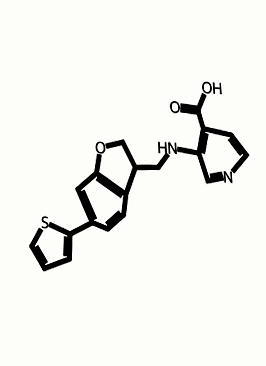 O=C(O)c1ccncc1NCC1COc2cc(-c3cccs3)ccc21